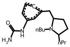 CCCCN1C(CCC)CCC1Cc1cccc(NC(N)=O)c1